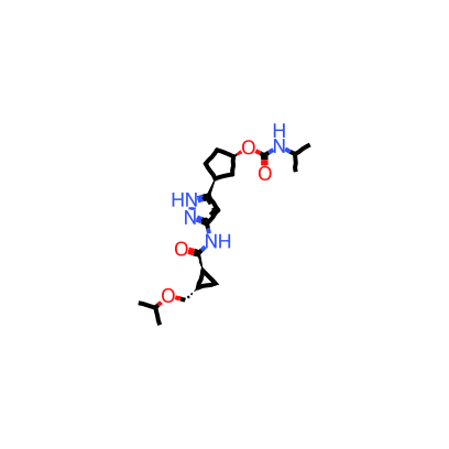 CC(C)NC(=O)O[C@@H]1CC[C@H](c2cc(NC(=O)[C@H]3C[C@@H]3COC(C)C)n[nH]2)C1